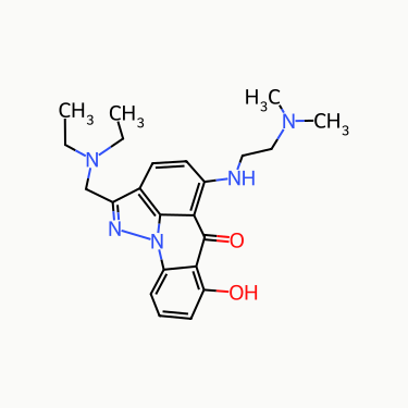 CCN(CC)Cc1nn2c3cccc(O)c3c(=O)c3c(NCCN(C)C)ccc1c32